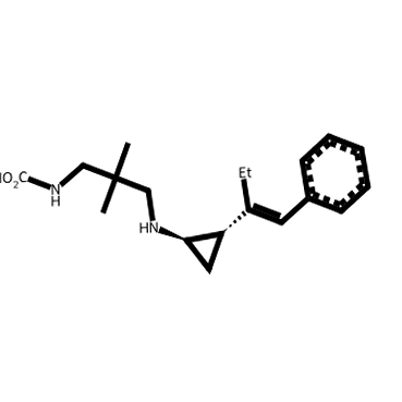 CC/C(=C\c1ccccc1)[C@@H]1C[C@H]1NCC(C)(C)CNC(=O)O